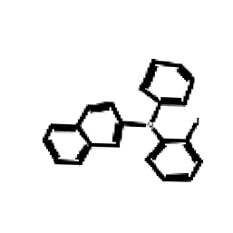 Ic1ccccc1N(c1ccccc1)c1ccc2ccccc2c1